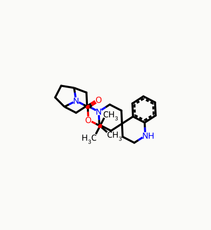 CC(C)(C)OC(=O)N1C2CCC1CC(N1CCC3(CCNc4ccccc43)CC1)C2